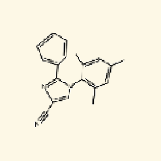 Cc1cc(C)c(-n2cc(C#N)nc2-c2ccccc2)c(C)c1